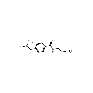 CCN(C)Cc1ccc(C(=O)NCCC(=O)O)cc1